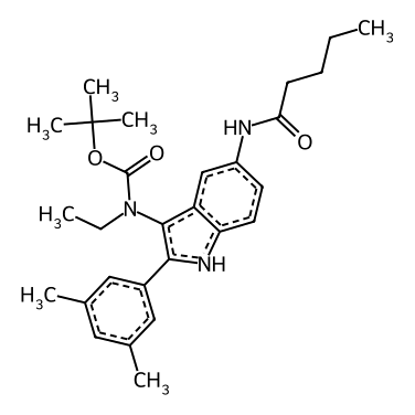 CCCCC(=O)Nc1ccc2[nH]c(-c3cc(C)cc(C)c3)c(N(CC)C(=O)OC(C)(C)C)c2c1